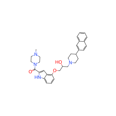 CN1CCN(C(=O)c2cc3c(OCC(O)CN4CCC(c5ccc6ccccc6c5)CC4)cccc3[nH]2)CC1